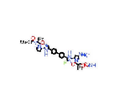 COC(=O)N[C@H](C(=O)N1CCC[C@H]1c1ncc(-c2ccc(-c3ccc(-c4[nH]c([C@@H]5C[C@H](N=[N+]=[N-])CN5C(=O)[C@@H](COOC=N)C(C)C)nc4F)cc3)cc2)[nH]1)C(C)C